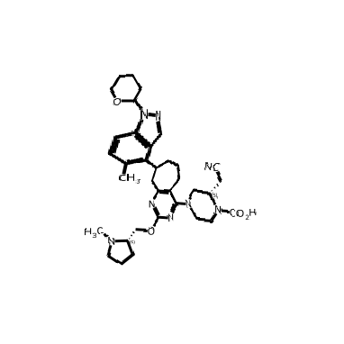 Cc1ccc2c(cnn2C2CCCCO2)c1C1CCCc2c(nc(OC[C@@H]3CCCN3C)nc2N2CCN(C(=O)O)[C@@H](CC#N)C2)C1